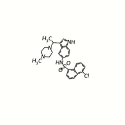 CC(c1c[nH]c2ccc(NS(=O)(=O)c3cccc4c(Cl)cccc34)cc12)N1CCN(C)CC1